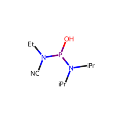 CCN(C#N)P(O)N(C(C)C)C(C)C